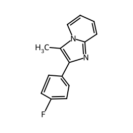 Cc1c(-c2ccc(F)cc2)nc2ccccn12